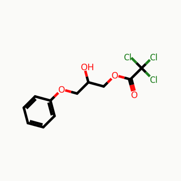 O=C(OCC(O)COc1ccccc1)C(Cl)(Cl)Cl